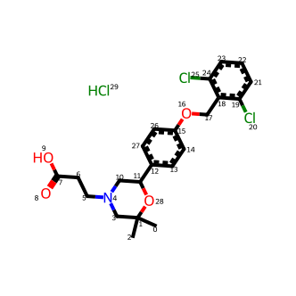 CC1(C)CN(CCC(=O)O)CC(c2ccc(OCc3c(Cl)cccc3Cl)cc2)O1.Cl